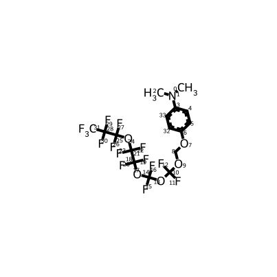 CN(C)c1ccc(OCOC(F)(F)OC(F)(F)OC(F)(F)C(F)(F)OC(F)(F)C(F)(F)C(F)(F)F)cc1